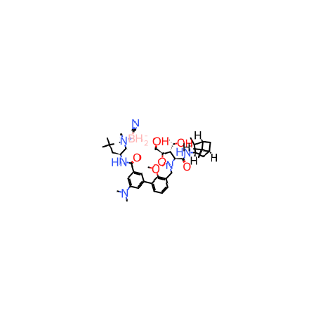 COc1c(CN2O[C@@H](CO)[C@H]([C@H](C)O)[C@H]2C(=O)N[C@H]2C[C@H]3C[C@@H]([C@@H]2C)C3(C)C)cccc1-c1cc(C(=O)N[C@@H](CC(C)(C)C)C[N+](C)(C)[BH2-]C#N)cc(N(C)C)c1